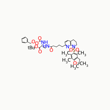 Cc1c(C)c(S(=O)(=O)N2CCCc3ccc(CCCCC(=O)NC[C@H](NC(=O)OOCc4ccccc4)C(=O)OC(C)(C)C)nc32)c(C)c2c1OC(C)(C)C2